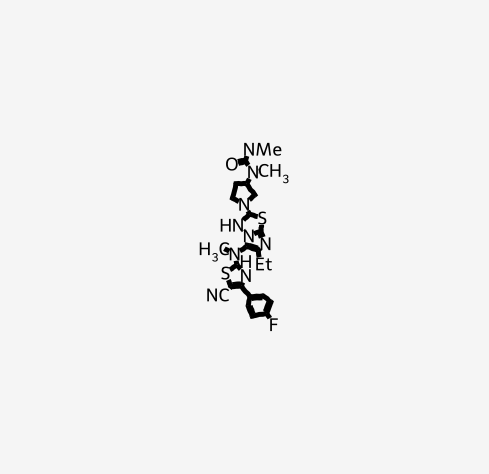 CCc1nc2n(c1N(C)C1NC(c3ccc(F)cc3)=C(C#N)S1)NC(N1CCC(N(C)C(=O)NC)C1)S2